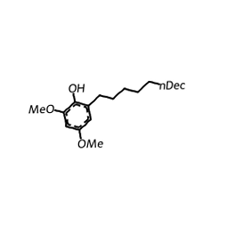 CCCCCCCCCCCCCCCc1cc(OC)cc(OC)c1O